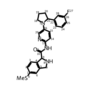 CSc1ccc2c(c1)CNC2C(=O)Nc1ccc(N2CCCC2c2cccc(F)c2)cn1